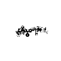 CC(C)(C)OC(=O)NCCOc1ccc(C(=C2CCN(C(=O)N3CC[C@@H]4OCC(=O)N[C@@H]4C3)CC2)c2ccccc2)cc1